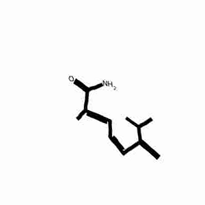 C=C(/C=C\C=C(/C)C(N)=O)C(C)C